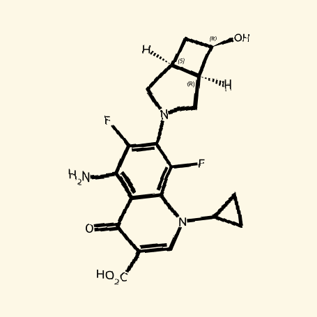 Nc1c(F)c(N2C[C@H]3C[C@@H](O)[C@H]3C2)c(F)c2c1c(=O)c(C(=O)O)cn2C1CC1